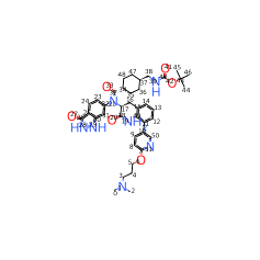 CN(C)CCCOc1ccc(-c2cccc(C[C@@H](C(N)=O)N(c3ccc4c(=O)[nH][nH]c4c3)C(=O)[C@H]3CC[C@H](CNC(=O)OC(C)(C)C)CC3)c2)cn1